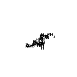 Cc1cn(-c2nccc3[nH]c(-c4n[nH]c5cnc(-c6cncc(OCCN7CCCC7)c6)cc45)nc23)cn1